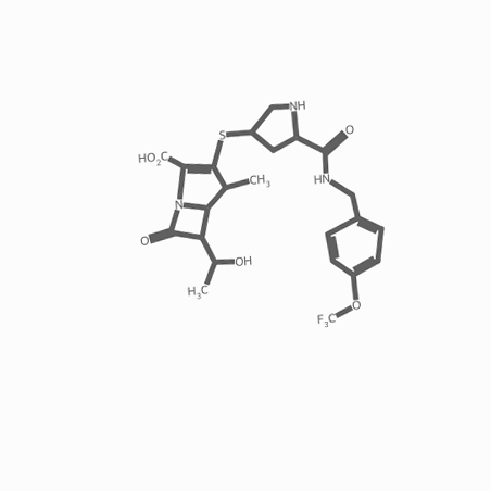 CC(O)C1C(=O)N2C(C(=O)O)=C(SC3CNC(C(=O)NCc4ccc(OC(F)(F)F)cc4)C3)C(C)C12